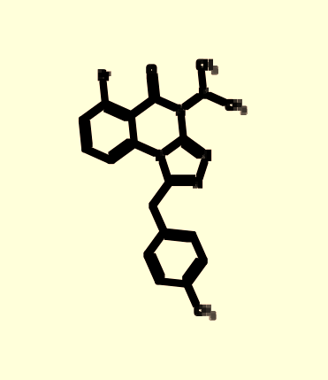 Cc1ccc(Cc2nnc3n(N(C)C)c(=O)c4c(Br)cccc4n23)cc1